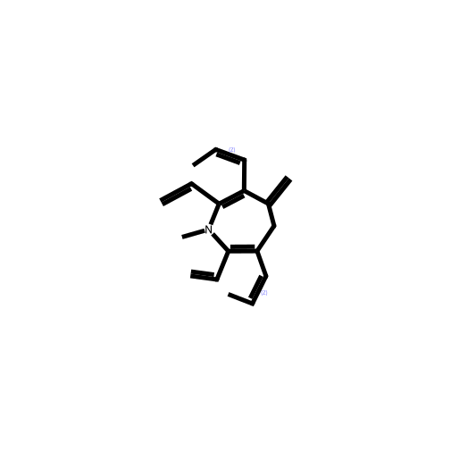 C=CC1=C(/C=C\C)CC(=C)C(/C=C\C)=C(C=C)N1C